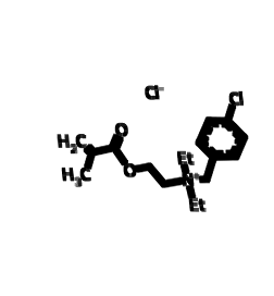 C=C(C)C(=O)OCC[N+](CC)(CC)Cc1ccc(Cl)cc1.[Cl-]